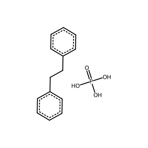 O=P(O)(O)O.c1ccc(CCc2ccccc2)cc1